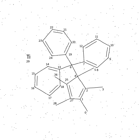 CC1=C(C)C(C)(C(c2ccccc2)(c2ccccc2)c2ccccc2)C(C)=C1C.[Ti]